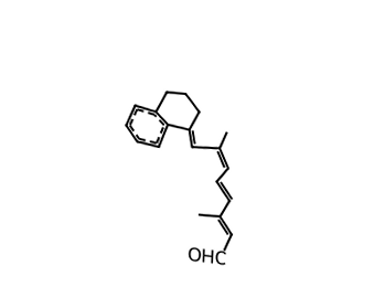 CC(=C/C=C/C(C)=C/C=O)/C=C1\CCCc2ccccc21